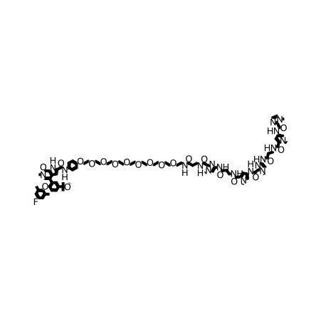 COC(C)(C)c1ccc(Oc2c(C)cc(F)cc2C)c(-c2cn(C)c(=O)c3[nH]c(C(=O)Nc4ccc(OCCOCCOCCOCCOCCOCCOCCOCCOCCNC(=O)CCNC(=O)c5nc(NC(=O)CCNC(=O)c6cc(NC(=O)c7nc(NC(=O)CCNC(=O)c8cc(NC(=O)c9nccn9C)cn8C)cn7C)cn6C)cn5C)cc4)cc23)c1